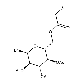 CC(=O)O[C@@H]1[C@@H](OC(C)=O)[C@@H](Br)O[C@H](COC(=O)CCl)[C@H]1OC(C)=O